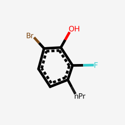 CCCc1ccc(Br)c(O)c1F